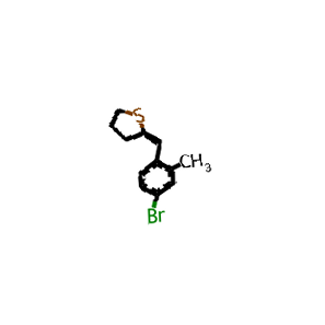 Cc1cc(Br)ccc1/C=C1\CCCS1